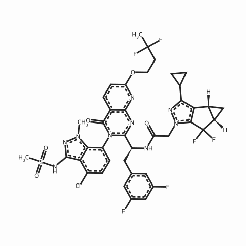 Cn1nc(NS(C)(=O)=O)c2c(Cl)ccc(-n3c([C@H](Cc4cc(F)cc(F)c4)NC(=O)Cn4nc(C5CC5)c5c4C(F)(F)[C@H]4C[C@@H]54)nc4nc(OCCC(C)(F)F)ccc4c3=O)c21